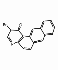 O=C1c2c(ccc3cc4ccccc4cc23)N=CC1Br